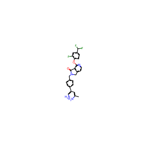 C/C(N)=C/C(=C\N)c1ccc(CN2Cc3ccnc(Oc4ccc(C(F)F)cc4F)c3C2=O)cc1